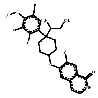 CCC(N)C1(c2cc(F)c(OC)c(F)c2F)CCC(Oc2cc3cc[nH]c(=O)c3cc2Cl)CC1